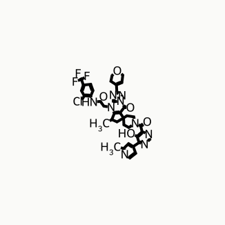 Cc1cc(-c2ncnc(C(=O)N3CCC4(CC3)CC(C)c3c4c(=O)n4nc(C5=CCOCC5)nc4n3CC(=O)Nc3ccc(C(F)(F)F)cc3Cl)c2O)ccn1